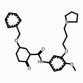 COc1ccc(NC(=O)C2CC(OCc3ccccc3)CCC2=O)cc1OCCCN1CCCC1